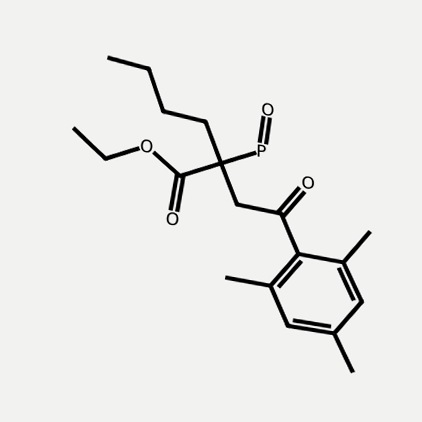 CCCCC(CC(=O)c1c(C)cc(C)cc1C)(P=O)C(=O)OCC